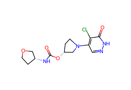 O=C(N[C@@H]1CCOC1)O[C@@H]1CCN(c2cn[nH]c(=O)c2Cl)C1